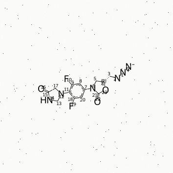 [N-]=[N+]=NC[C@H]1CN(c2cc(F)c(N3CNC(=O)C3)c(F)c2)C(=O)O1